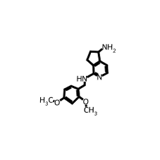 COc1ccc(CNc2nccc3c2CCC3N)c(OC)c1